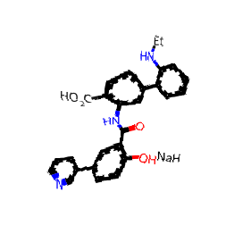 CCNc1ccccc1-c1ccc(C(=O)O)c(NC(=O)c2cc(-c3cccnc3)ccc2O)c1.[NaH]